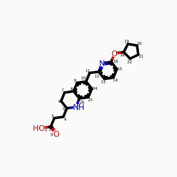 O=C(O)CCC1CCc2cc(Cc3cccc(OC4CCCC4)n3)ccc2N1